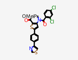 COC(=O)c1sc(-c2ccc(-c3cscn3)cc2)cc1N(C(=O)c1ccc(Cl)cc1Cl)C(C)C